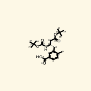 Cc1ccc(C(=O)O)cc1C[C@@H](CC(=O)OC(C)(C)C)NC(=O)OC(C)(C)C